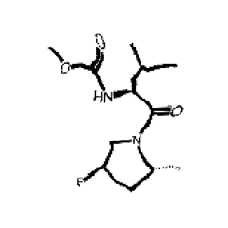 COC(=O)N[C@H](C(=O)N1CC(F)C[C@H]1C)C(C)C